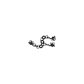 Cc1cc(CCCCOc2cc(-c3cc(OCCCc4cc(C)on4)ccc3C)c(C)cc2-c2cc(OCCOCc3cc(C)on3)ccc2C)no1